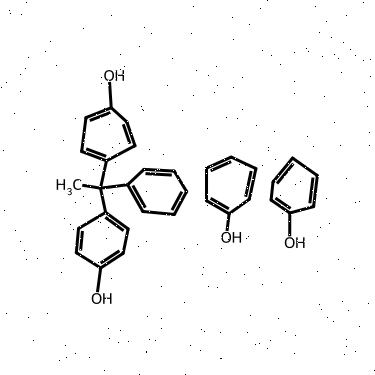 CC(c1ccccc1)(c1ccc(O)cc1)c1ccc(O)cc1.Oc1ccccc1.Oc1ccccc1